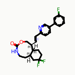 O=C1NCC[C@@H]2CC(F)(F)CC[C@H]2[C@H](/C=C/c2ccc(-c3cccc(F)c3)cn2)CO1